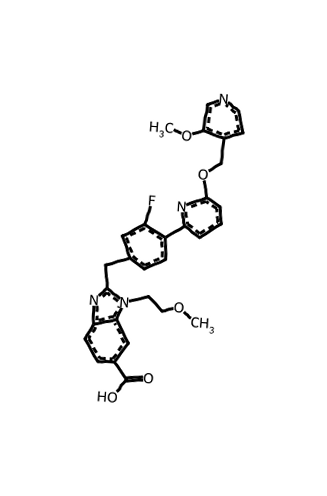 COCCn1c(Cc2ccc(-c3cccc(OCc4ccncc4OC)n3)c(F)c2)nc2ccc(C(=O)O)cc21